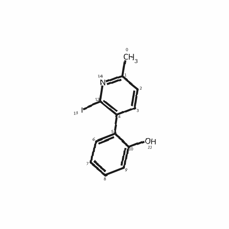 Cc1ccc(-c2ccccc2O)c(I)n1